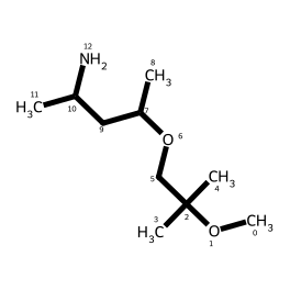 COC(C)(C)COC(C)CC(C)N